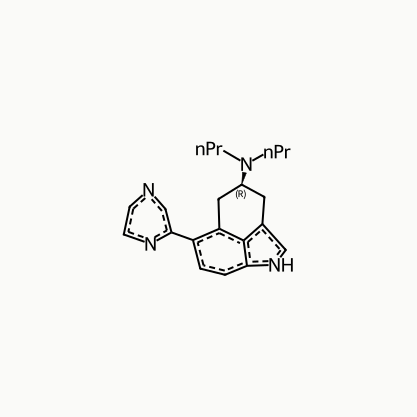 CCCN(CCC)[C@H]1Cc2c[nH]c3ccc(-c4cnccn4)c(c23)C1